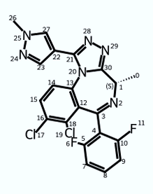 C[C@@H]1N=C(c2c(F)cccc2F)c2c(ccc(Cl)c2Cl)-n2c(-c3cnn(C)c3)nnc21